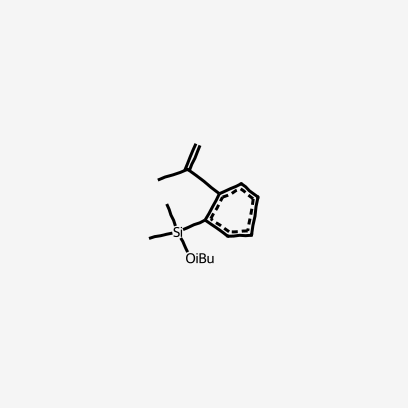 C=C(C)c1ccccc1[Si](C)(C)OCC(C)C